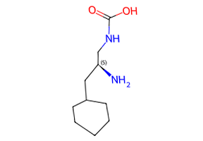 N[C@H](CNC(=O)O)CC1CCCCC1